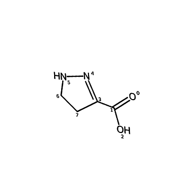 O=C(O)C1=NNCC1